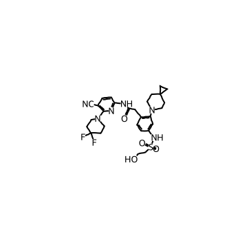 N#Cc1ccc(NC(=O)Cc2ccc(NS(=O)(=O)CCO)cc2N2CCC3(CC2)CC3)nc1N1CCC(F)(F)CC1